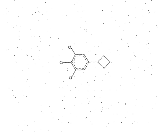 Clc1cc([C]2CCC2)cc(Cl)c1Cl